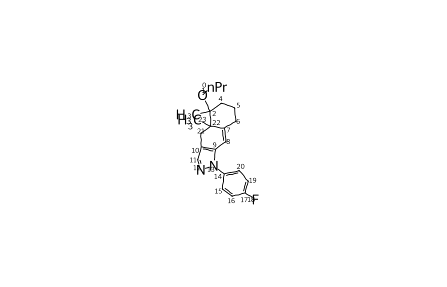 CCCOC1(C)CCCC2=Cc3c(cnn3-c3ccc(F)cc3)CC21C